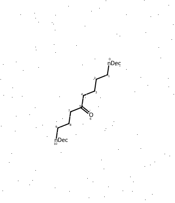 CCCCCCCCCCCCC[CH]C(=O)CCCCCCCCCCCCC